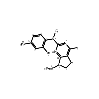 CCCCCN1CCc2c(C)nc(N(CC)c3ccc(C(C)C)cc3Br)nc21